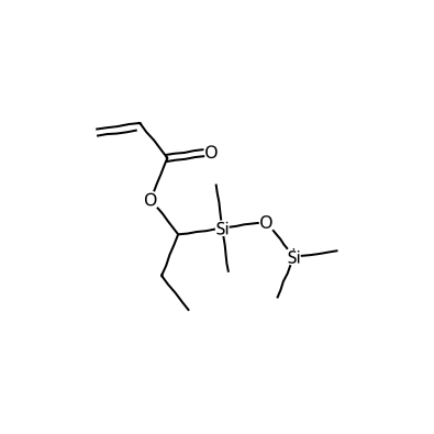 C=CC(=O)OC(CC)[Si](C)(C)O[Si](C)C